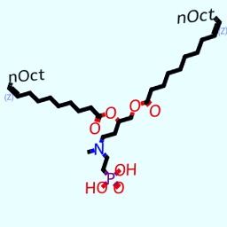 CCCCCCCC/C=C\CCCCCCCC(=O)OCC(CCN(C)CCP(=O)(O)O)OC(=O)CCCCCCC/C=C\CCCCCCCC